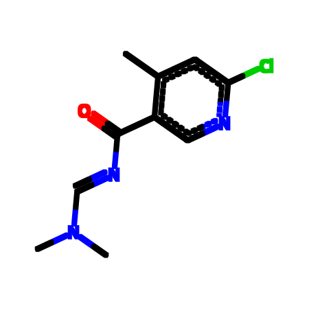 Cc1cc(Cl)ncc1C(=O)N=CN(C)C